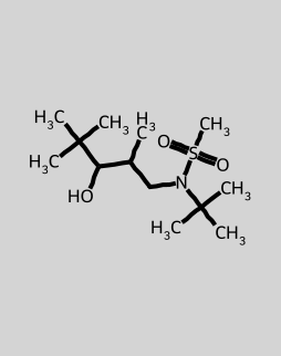 CC(CN(C(C)(C)C)S(C)(=O)=O)C(O)C(C)(C)C